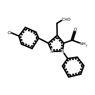 NC(=O)c1c(C[C]=O)c(-c2ccc(Cl)cc2)nn1-c1ccccc1